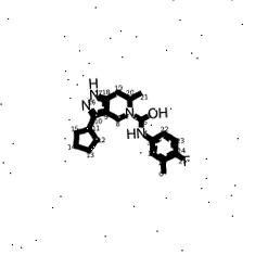 Cc1cc(NC(O)N2Cc3c(C4CCCC4)n[nH]c3CC2C)ccc1F